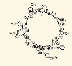 CCCCC1C(=O)N(C)C(CCCC)C(=O)NC(CCCNC(=N)N)C(=O)N[C@H](C(=O)NCC(N)=O)CSCC(=O)NC(Cc2ccc(O)cc2)C(=O)N(C)C(C)C(=O)NC(CC(N)=O)C(=O)N2CCCC2C(=O)NC(CN)C(=O)NC(CC(C)C)C(=O)N2C[C@H](O)CC2C(=O)NC(Cc2c[nH]c3ccccc23)C(=O)NC(CO)C(=O)NC(Cc2c(-c3ccc(OCCC)cc3)[nH]c3ccccc23)C(=O)N1C